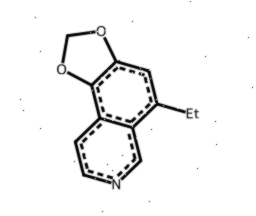 CCc1cc2c(c3ccncc13)OCO2